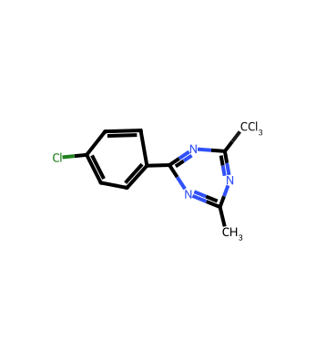 Cc1nc(-c2ccc(Cl)cc2)nc(C(Cl)(Cl)Cl)n1